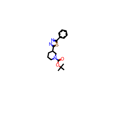 CC(C)(C)OC(=O)N1CCCC(c2nnc(-c3ccccc3)s2)C1